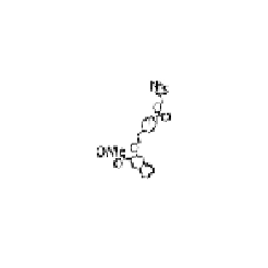 COC(=O)c1cc2ccccc2cc1OCCC1CCN(C(=O)OCc2cncs2)CC1